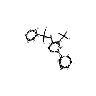 CC(C)(C)c1nc(-c2ccccc2)ccc1CC(C)(C)c1ccccn1